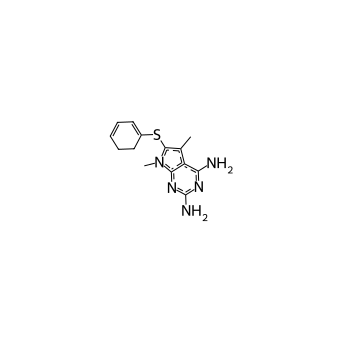 Cc1c(SC2=CC=CCC2)n(C)c2nc(N)nc(N)c12